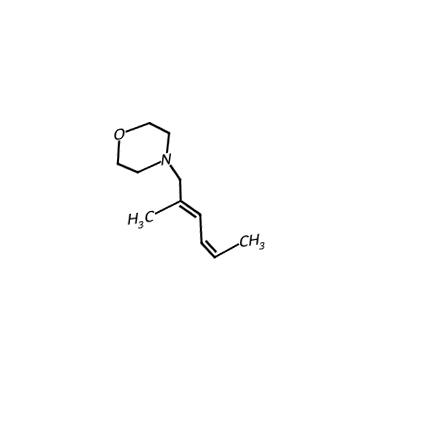 C/C=C\C=C(/C)CN1CCOCC1